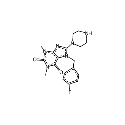 Cn1c(=O)c2c(nc(N3CCNCC3)n2Cc2ccc(F)cc2)n(C)c1=O